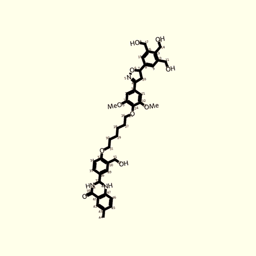 COc1cc(C2=NOC(c3cc(CO)c(CO)c(CO)c3)C2)cc(OC)c1OCCCCCCOc1ccc(C2NC(=O)c3cc(C)ccc3N2)cc1CO